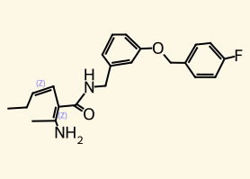 CC/C=C\C(C(=O)NCc1cccc(OCc2ccc(F)cc2)c1)=C(/C)N